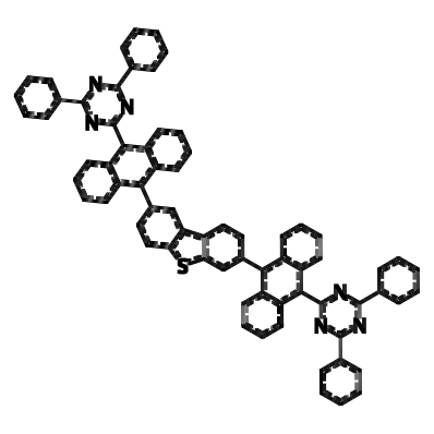 c1ccc(-c2nc(-c3ccccc3)nc(-c3c4ccccc4c(-c4ccc5c(c4)sc4ccc(-c6c7ccccc7c(-c7nc(-c8ccccc8)nc(-c8ccccc8)n7)c7ccccc67)cc45)c4ccccc34)n2)cc1